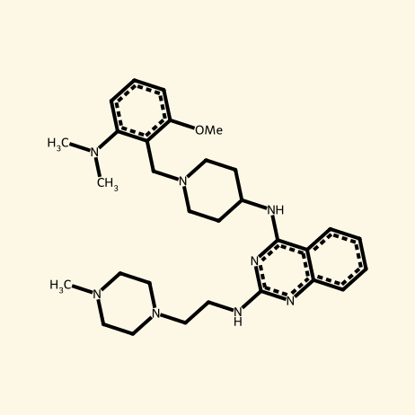 COc1cccc(N(C)C)c1CN1CCC(Nc2nc(NCCN3CCN(C)CC3)nc3ccccc23)CC1